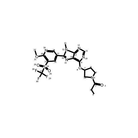 CCC(=O)N1CCC(Oc2ncnc3c2nc(-c2cnc(OC)c(S(=O)(=O)C(F)(F)F)c2)n3C)C1